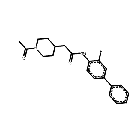 CC(=O)N1CCC(CC(=O)Nc2ccc(-c3ccccc3)cc2F)CC1